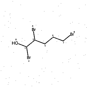 OC(Br)C(Br)CCCBr